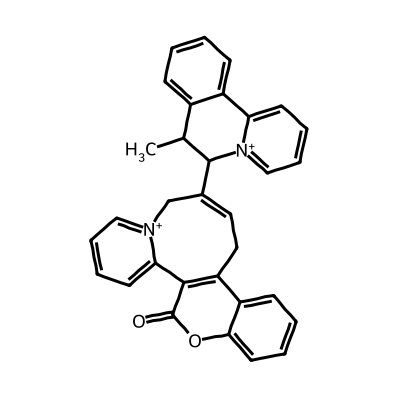 CC1c2ccccc2-c2cccc[n+]2C1/C1=C/Cc2c(c(=O)oc3ccccc23)-c2cccc[n+]2C1